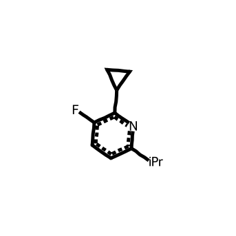 CC(C)c1ccc(F)c(C2CC2)n1